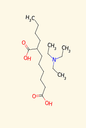 CCCCC(CCCCCC(=O)O)C(=O)O.CCN(CC)CC